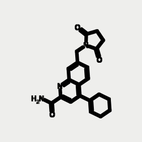 NC(=O)c1cc(C2=CCCCC2)c2ccc(CN3C(=O)CCC3=O)cc2n1